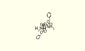 NC(O[PH](=O)OC(N)C(=O)OCc1ccccc1)C(=O)OCc1ccccc1